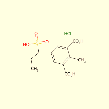 CCCS(=O)(=O)O.Cc1c(C(=O)O)cccc1C(=O)O.Cl